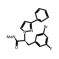 CNC(=O)[C@H](Cc1cc(F)cc(Br)c1)n1ccc(-c2ccccc2)n1